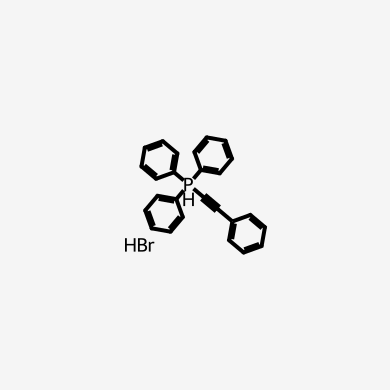 Br.C(#C[PH](c1ccccc1)(c1ccccc1)c1ccccc1)c1ccccc1